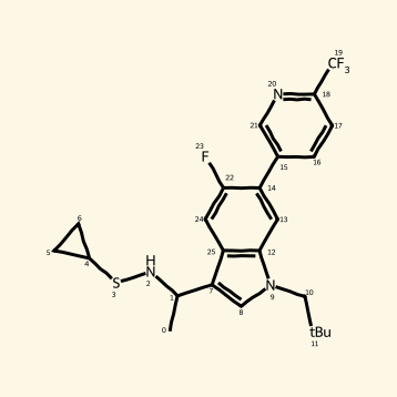 CC(NSC1CC1)c1cn(CC(C)(C)C)c2cc(-c3ccc(C(F)(F)F)nc3)c(F)cc12